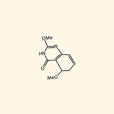 COc1nc2c(c(=O)[nH]1)C(OC)CC=C2